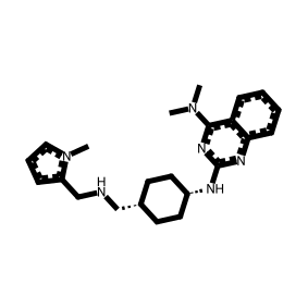 CN(C)c1nc(N[C@H]2CC[C@@H](CNCc3cccn3C)CC2)nc2ccccc12